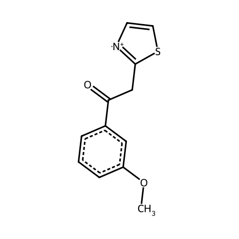 COc1cccc(C(=O)CC2=[N+]C=CS2)c1